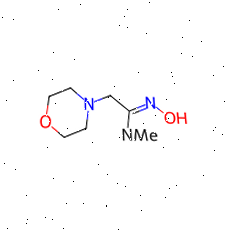 CN/C(CN1CCOCC1)=N\O